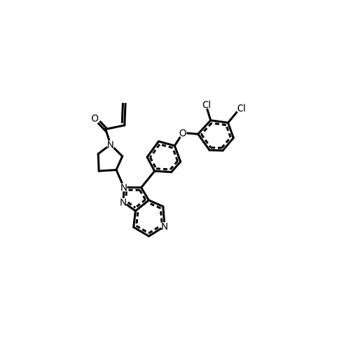 C=CC(=O)N1CCC(n2nc3ccncc3c2-c2ccc(Oc3cccc(Cl)c3Cl)cc2)C1